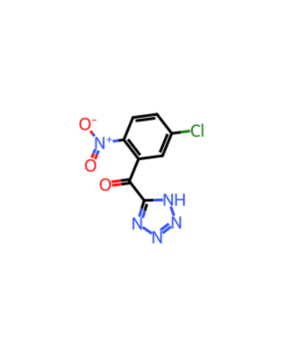 O=C(c1nnn[nH]1)c1cc(Cl)ccc1[N+](=O)[O-]